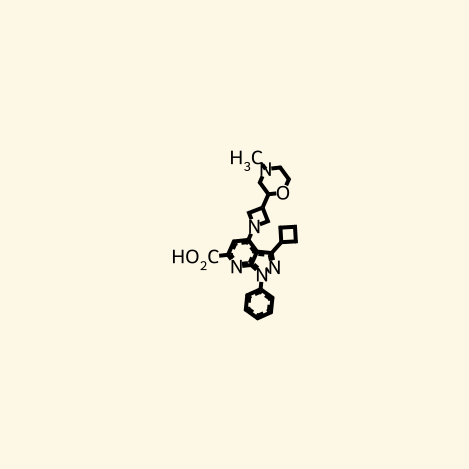 CN1CCOC(C2CN(c3cc(C(=O)O)nc4c3c(C3CCC3)nn4-c3ccccc3)C2)C1